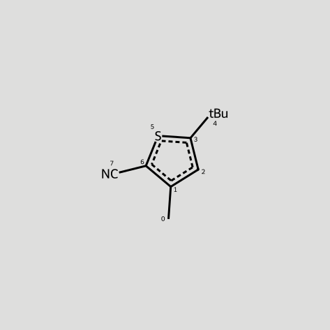 Cc1cc(C(C)(C)C)sc1C#N